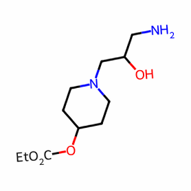 CCOC(=O)OC1CCN(CC(O)CN)CC1